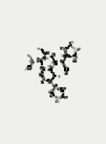 CC(=O)N1c2ccc(-c3ncco3)cc2N(C(=O)c2ccco2)C[C@@H]1C